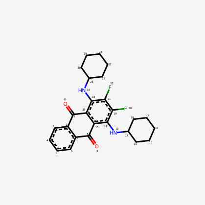 O=C1c2ccccc2C(=O)c2c(NC3CCCCC3)c(F)c(F)c(NC3CCCCC3)c21